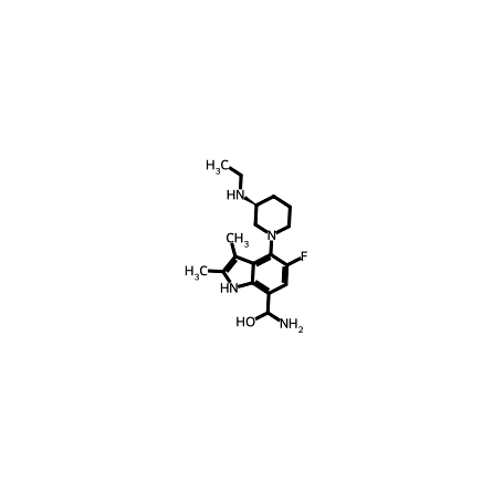 CCN[C@H]1CCCN(c2c(F)cc(C(N)O)c3[nH]c(C)c(C)c23)C1